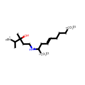 CCCCC(C)C(C)(O)CCNC(CC=CCCCC(=O)OCC)C(=O)OCC